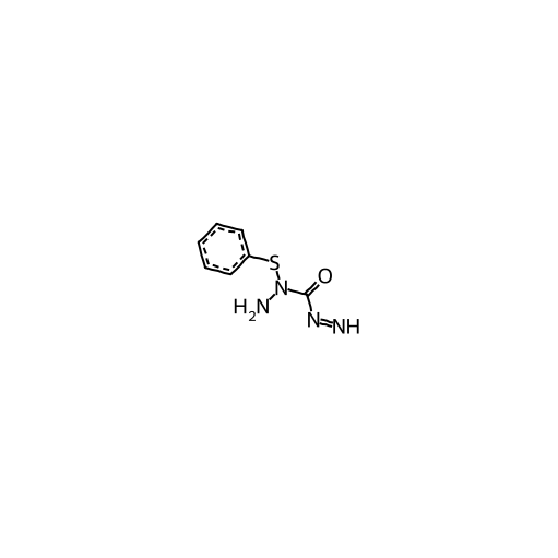 N=NC(=O)N(N)Sc1ccccc1